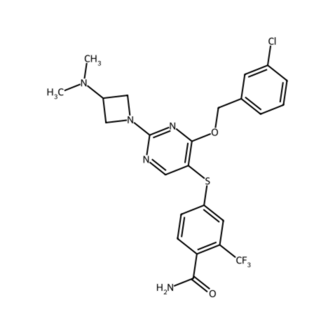 CN(C)C1CN(c2ncc(Sc3ccc(C(N)=O)c(C(F)(F)F)c3)c(OCc3cccc(Cl)c3)n2)C1